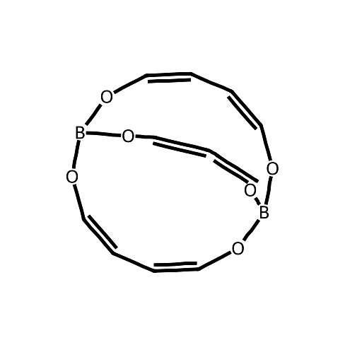 C1=C\OB2O/C=C\C=C/OB(O\C=C/1)O/C=C/C=C/O2